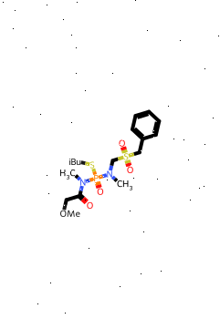 CCC(C)SP(=O)(N(C)CS(=O)(=O)Cc1ccccc1)N(C)C(=O)COC